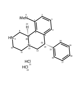 CNc1cccc2c1[C@@H]1CNCCN1C[C@H]2c1ccccc1.Cl.Cl